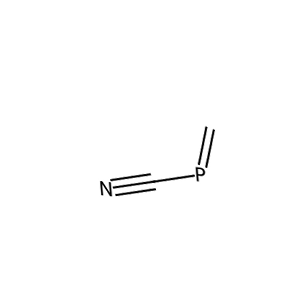 C=PC#N